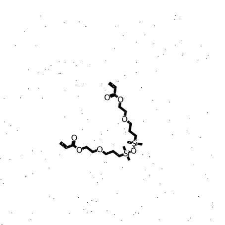 C=CC(=O)OCCOCCC[Si](C)(C)O[Si](C)(C)CCCOCCOC(=O)C=C